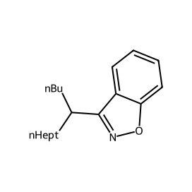 CCCCCCCC(CCCC)c1noc2ccccc12